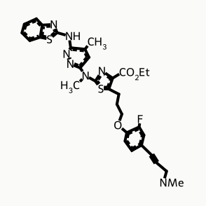 CCOC(=O)c1nc(N(C)c2cc(C)c(Nc3nc4ccccc4s3)nn2)sc1CCCOc1ccc(C#CCNC)cc1F